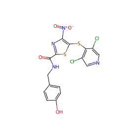 O=C(NCc1ccc(O)cc1)c1nc([N+](=O)[O-])c(Sc2c(Cl)cncc2Cl)s1